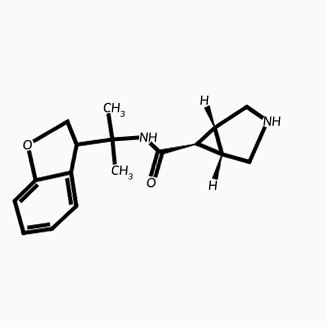 CC(C)(NC(=O)[C@H]1[C@@H]2CNC[C@@H]21)C1COc2ccccc21